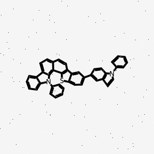 c1ccc(-n2ccc3cc(-c4ccc5sc6c(ccc7ccc8c9ccccc9n(-c9ccccc9)c8c76)c5c4)ccc32)cc1